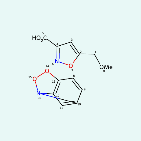 COCc1cc(C(=O)O)no1.c1cc2cc3c1oon2-3